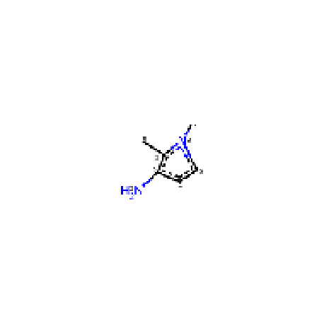 Cc1c(N)ccn1C